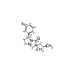 C=CC[C@@]1(C)CN2CC[C@@H](c3cccc(F)c3)N2C1=O